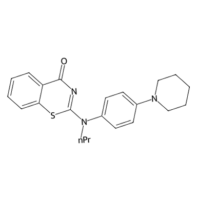 CCCN(c1ccc(N2CCCCC2)cc1)c1nc(=O)c2ccccc2s1